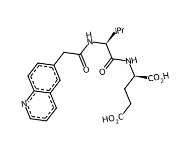 CC(C)[C@H](NC(=O)Cc1ccc2ncccc2c1)C(=O)N[C@H](CCC(=O)O)C(=O)O